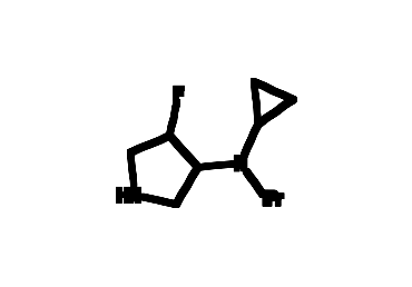 CC(C)N(C1CC1)C1CNCC1F